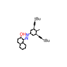 Cc1c(C#CC(C)(C)C)cc(/N=N/c2c(O)ccc3ccccc23)cc1C#CC(C)(C)C